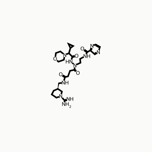 N=C(N)N1CCC[C@@H](CNC(=O)CCC(=O)N(CCNC(=O)c2cnccn2)NC(=O)C(C2CC2)N2CCOCC2)C1